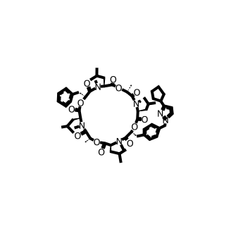 CC(C)C[C@H]1C(=O)O[C@H](Cc2ccc(Cn3ccc(C4CCCC4)n3)cc2)C(=O)N(C)[C@@H](CC(C)C)C(=O)O[C@H](C)C(=O)N(C)[C@@H](CC(C)C)C(=O)O[C@H](Cc2ccccc2)C(=O)N(C)[C@@H](CC(C)C)C(=O)O[C@H](C)C(=O)N1C